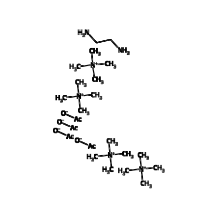 CC(=O)[O-].CC(=O)[O-].CC(=O)[O-].CC(=O)[O-].C[N+](C)(C)C.C[N+](C)(C)C.C[N+](C)(C)C.C[N+](C)(C)C.NCCN